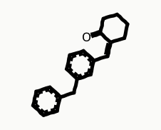 O=C1CCCCC1=Cc1cccc(Cc2ccccc2)c1